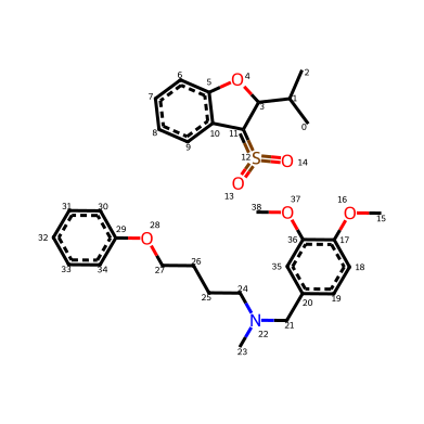 CC(C)C1Oc2ccccc2C1=S(=O)=O.COc1ccc(CN(C)CCCCOc2ccccc2)cc1OC